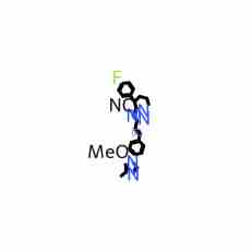 COc1cc(/C=C/c2nc3n(n2)CCCC3(C#N)c2ccc(F)cc2)ccc1-n1cnc(C)c1